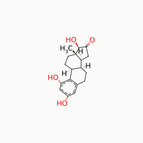 C[C@]12CC[C@@H]3c4c(O)cc(O)cc4CC[C@@H]3[C@@H]1CC(=O)[C@@H]2O